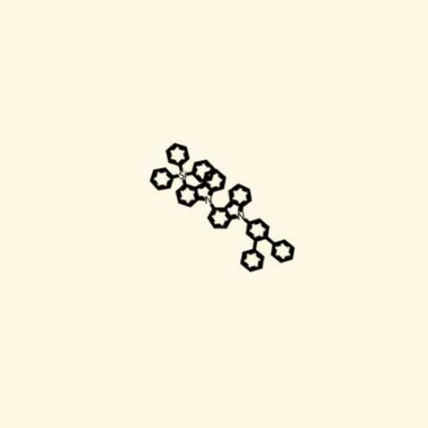 c1ccc(-c2ccc(-n3c4ccccc4c4c(-n5c6ccccc6c6c([Si](c7ccccc7)(c7ccccc7)c7ccccc7)cccc65)cccc43)cc2-c2ccccc2)cc1